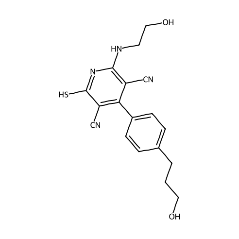 N#Cc1c(S)nc(NCCO)c(C#N)c1-c1ccc(CCCO)cc1